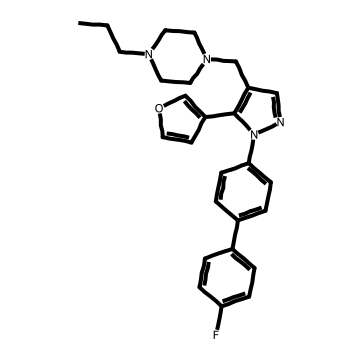 CCCN1CCN(Cc2cnn(-c3ccc(-c4ccc(F)cc4)cc3)c2-c2ccoc2)CC1